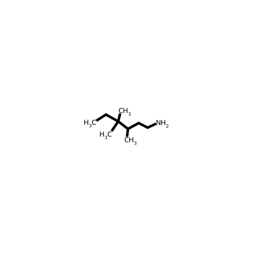 CCC(C)(C)C(C)CCN